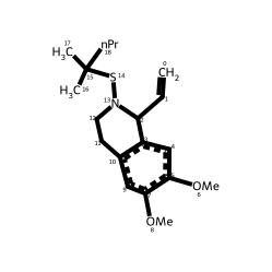 C=CC1c2cc(OC)c(OC)cc2CCN1SC(C)(C)CCC